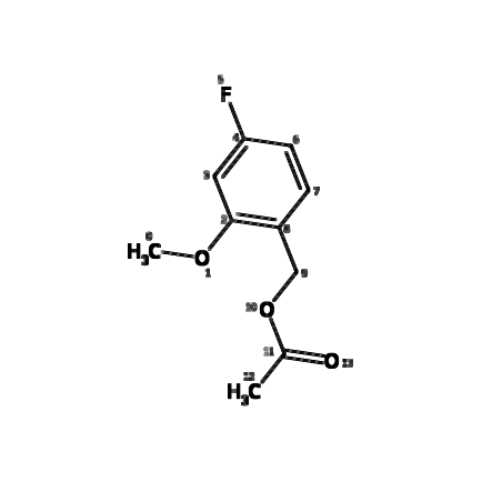 COc1cc(F)ccc1COC(C)=O